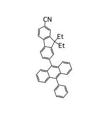 CCC1(CC)c2cc(C#N)ccc2-c2ccc(-c3c4ccccc4c(-c4ccccc4)c4ccccc34)cc21